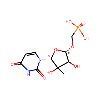 CC1(O)C(O)[C@@H](OCP(=O)(O)O)O[C@H]1n1ccc(=O)[nH]c1=O